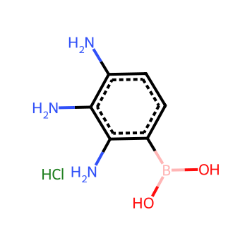 Cl.Nc1ccc(B(O)O)c(N)c1N